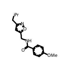 COc1ccc(C(=O)NCc2cc(CC(C)C)no2)cc1